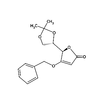 CC1(C)OC[C@@H]([C@H]2OC(=O)C=C2OCc2ccccc2)O1